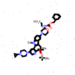 CCn1c(-c2cc(N3CCN(C4CC4)CC3)cnc2[C@H](C)OC)c(CC(C)(C)CO[Si](C)(C)C(C)(C)C)c2cc(N3CCO[C@](CCC(=O)O)(NC(=O)OCc4ccccc4)C3)ccc21